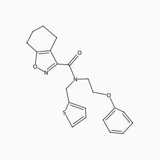 O=C(c1noc2c1CCCC2)N(CCOc1ccccc1)Cc1cccs1